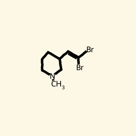 CN1CCCC(C=C(Br)Br)C1